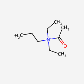 [CH2]CC[N+](CC)(CC)C(C)=O